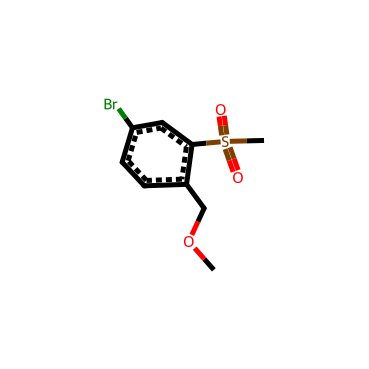 COCc1ccc(Br)cc1S(C)(=O)=O